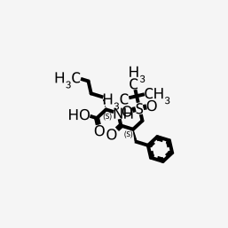 CCCC[C@H](NC(=O)[C@H](Cc1ccccc1)CS(=O)(=O)C(C)(C)C)C(=O)O